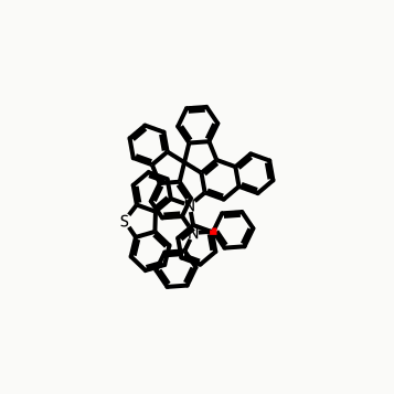 c1ccc(N(c2ccccc2)c2ccc3c(c2)C2(c4ccccc4-3)c3ccccc3-c3c2c(N(c2ccccc2)c2cccc4sc5ccccc5c24)cc2ccccc32)cc1